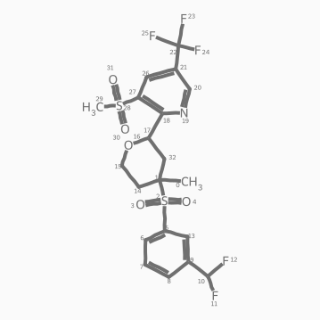 CC1(S(=O)(=O)c2cccc(C(F)F)c2)CCOC(c2ncc(C(F)(F)F)cc2S(C)(=O)=O)C1